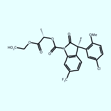 COc1ccc(Cl)cc1[C@]1(F)C(=O)N(C(=O)O[C@@H](C)C(=O)OCC(=O)O)c2cc(C(F)(F)F)ccc21